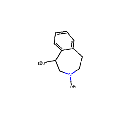 CCCN1CCc2ccccc2C(C(C)(C)C)C1